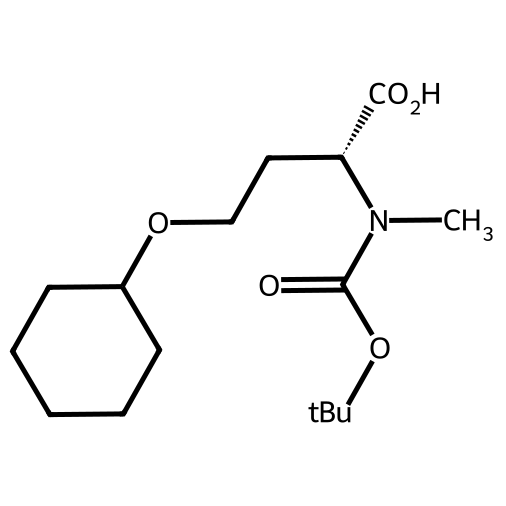 CN(C(=O)OC(C)(C)C)[C@H](CCOC1CCCCC1)C(=O)O